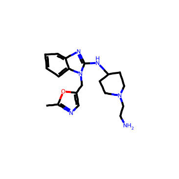 Cc1ncc(Cn2c(NC3CCN(CCN)CC3)nc3ccccc32)o1